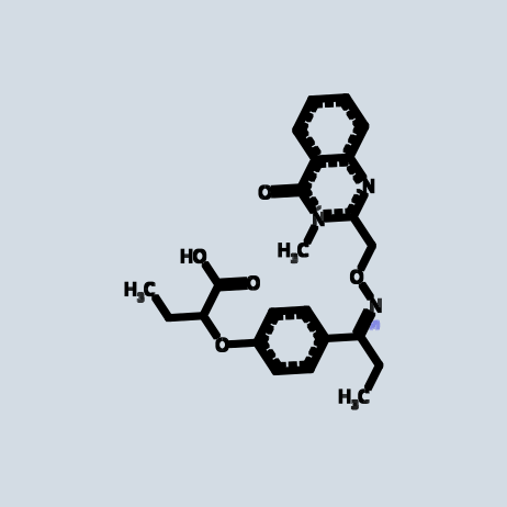 CC/C(=N/OCc1nc2ccccc2c(=O)n1C)c1ccc(OC(CC)C(=O)O)cc1